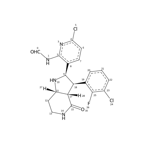 O=CNc1nc(Cl)ccc1[C@@H]1N[C@H]2CCNC(=O)[C@H]2[C@@H]1c1cccc(Cl)c1F